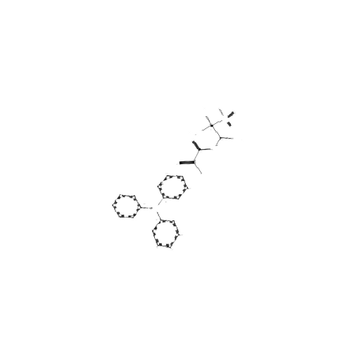 C=C(C)C(=O)OC(C(F)(F)F)C(F)(F)S(=O)(=O)[O-].c1ccc([S+](c2ccccc2)c2ccccc2)cc1